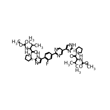 COC(=O)N[C@H](C(=O)N1CCC[C@H]1c1nc(-c2cnc(-c3ccc(-c4cnc([C@@H]5CCCN5C(=O)[C@@H](NC(=O)OC)C(C)C)[nH]4)c(F)c3)nc2)c[nH]1)C(C)C